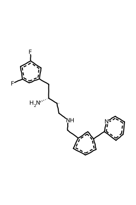 N[C@@H]([CH]CNCc1cccc(-c2ccccn2)c1)Cc1cc(F)cc(F)c1